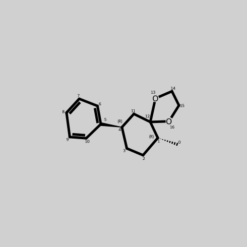 C[C@@H]1CC[C@@H](c2ccccc2)CC12OCCO2